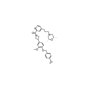 COc1cc(C2CN(C(=O)c3cc(CCCN4C[C@@H](C)O[C@@H](C)C4)ccn3)C2)ccc1OCc1ccc(C2CC2)cc1